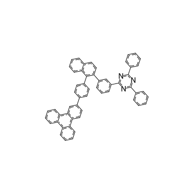 c1ccc(-c2nc(-c3ccccc3)nc(-c3cccc(-c4ccc5ccccc5c4-c4ccc(-c5ccc6c7ccccc7c7ccccc7c6c5)cc4)c3)n2)cc1